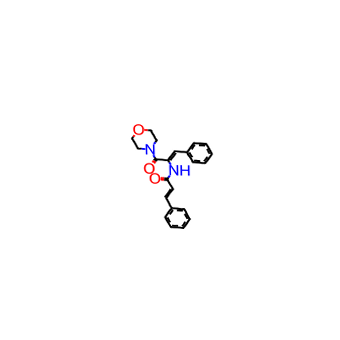 O=C(C=Cc1ccccc1)N/C(=C\c1ccccc1)C(=O)N1CCOCC1